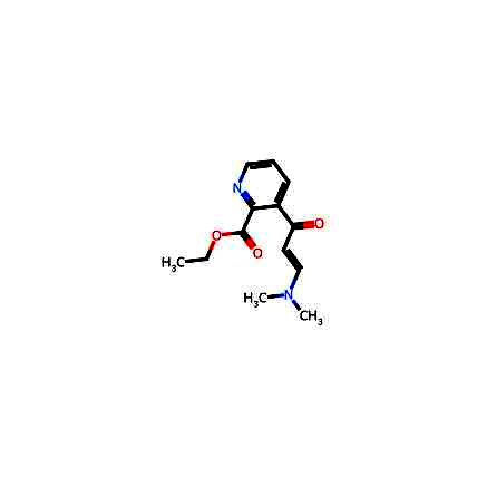 CCOC(=O)c1ncccc1C(=O)C=CN(C)C